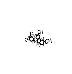 CC1(C)c2ccc(O)cc2-c2cc(O)cc(-c3ccc(Cl)cc3F)c21